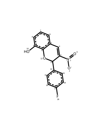 O=[N+]([O-])C1=Cc2cccc(O)c2OC1c1ccc(F)cc1